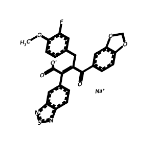 COc1ccc(C/C(C(=O)c2ccc3c(c2)OCO3)=C(\C(=O)[O-])c2ccc3nsnc3c2)cc1F.[Na+]